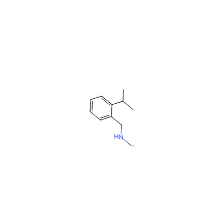 [CH2]NCc1ccccc1C(C)C